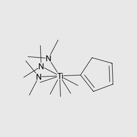 C[N](C)[Ti]([CH3])([CH3])([CH3])([CH3])([CH3])([C]1=CC=CC1)([N](C)C)[N](C)C